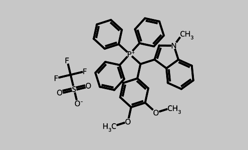 COc1ccc(C(c2cn(C)c3ccccc23)[P+](c2ccccc2)(c2ccccc2)c2ccccc2)cc1OC.O=S(=O)([O-])C(F)(F)F